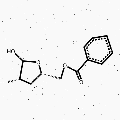 C[C@H]1C[C@@H](COC(=O)c2ccccc2)OC1O